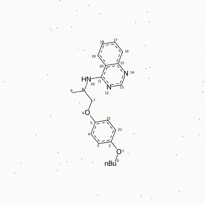 CCCCOc1ccc(OCC(C)Nc2ncnc3ccccc23)cc1